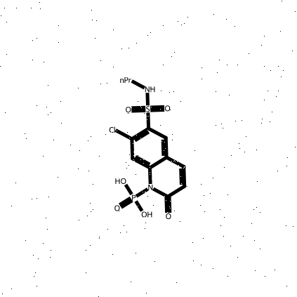 CCCNS(=O)(=O)c1cc2c[c]c(=O)n(P(=O)(O)O)c2cc1Cl